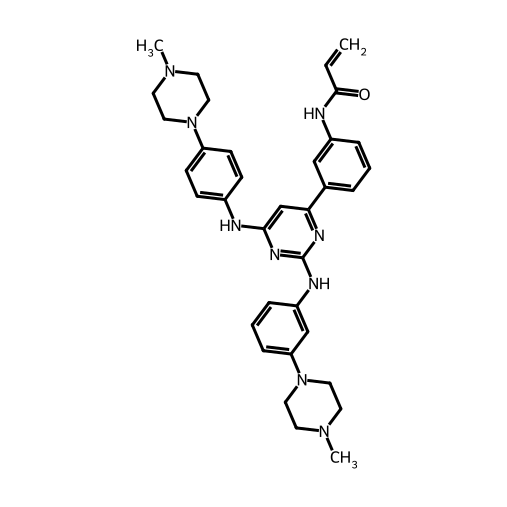 C=CC(=O)Nc1cccc(-c2cc(Nc3ccc(N4CCN(C)CC4)cc3)nc(Nc3cccc(N4CCN(C)CC4)c3)n2)c1